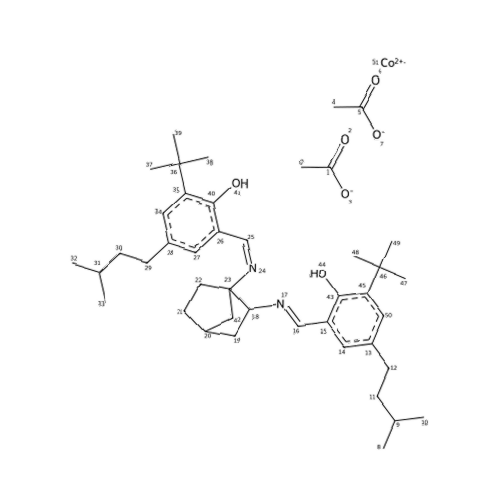 CC(=O)[O-].CC(=O)[O-].CC(C)CCc1cc(C=NC2CC3CCC2(N=Cc2cc(CCC(C)C)cc(C(C)(C)C)c2O)C3)c(O)c(C(C)(C)C)c1.[Co+2]